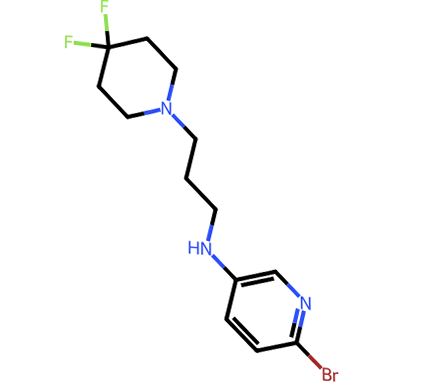 FC1(F)CCN(CCCNc2ccc(Br)nc2)CC1